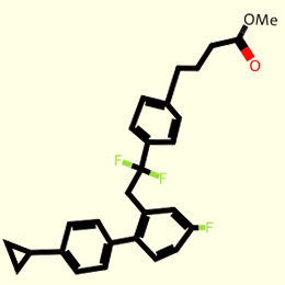 COC(=O)CCCc1ccc(C(F)(F)Cc2cc(F)ccc2-c2ccc(C3CC3)cc2)cc1